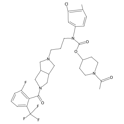 CC(=O)N1CCC(OC(=O)N(CCCN2CC3CN(C(=O)c4c(F)cccc4C(F)(F)F)CC3C2)c2ccc(C)c(Cl)c2)CC1